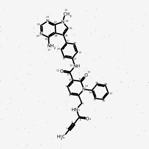 CC#CC(=O)NCc1ccc(C(=O)Nc2ccc(-c3cn(C)c4ncnc(N)c34)cc2)c(=O)n1-c1ccccc1